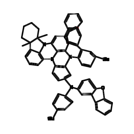 CC(C)(C)c1ccc(N(c2ccc3c(c2)N(c2ccc(C(C)(C)C)cc2-c2ccccc2)c2cc(-c4ccccc4)cc4c2B3c2cccc3c2N4C2(C)CCCCC32C)c2ccc3oc4ccccc4c3c2)cc1